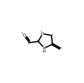 C=C1COC(C=O)N1